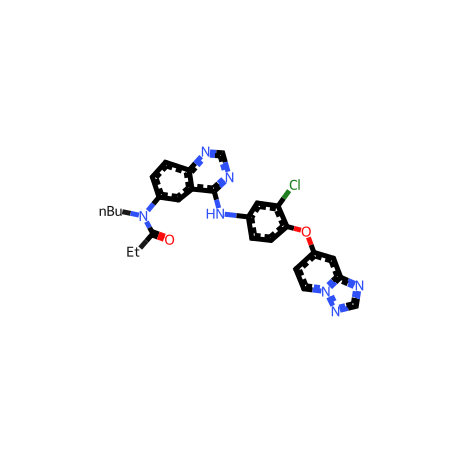 CCCCN(C(=O)CC)c1ccc2ncnc(Nc3ccc(Oc4ccn5ncnc5c4)c(Cl)c3)c2c1